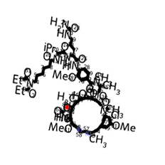 CCC(=O)N(CCCCCC(=O)N[C@H](C(=O)N[C@@H](CCCNC(N)=O)C(=O)Nc1ccc(C(=O)N(C)[C@@H](C)C(=O)O[C@H]2CC(=O)N(C)c3cc(cc(OC)c3Cl)C/C(C)=C/C=C/[C@@H](OC)[C@@]3(O)C[C@H](OC(=O)N3)[C@@H](C)[C@@H]3O[C@@]23C)cc1OC)C(C)C)C(=O)CC